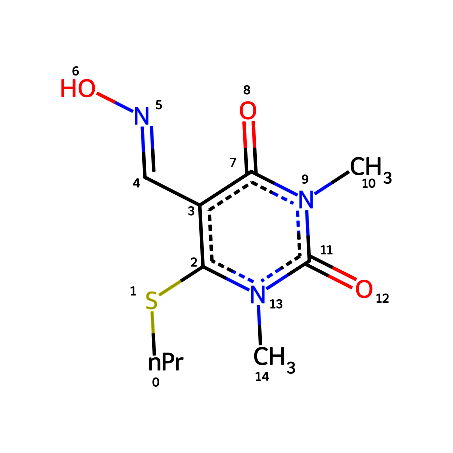 CCCSc1c(/C=N/O)c(=O)n(C)c(=O)n1C